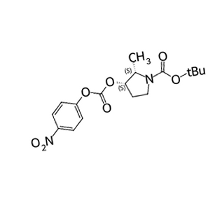 C[C@H]1[C@@H](OC(=O)Oc2ccc([N+](=O)[O-])cc2)CCN1C(=O)OC(C)(C)C